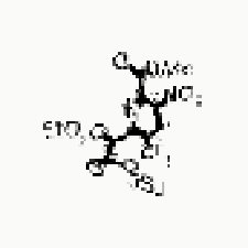 CCOC(=O)C(C(=O)OC(C)(C)C)c1nc(C(=O)OC)c([N+](=O)[O-])cc1C(F)(F)F